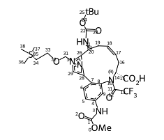 COC(=O)Nc1ccc2c(c1)N(C(=O)C(F)(F)F)[C@@H](C(=O)O)CC=CC[C@H](NC(=O)OC(C)(C)C)c1nc-2cn1COCC[Si](C)(C)C